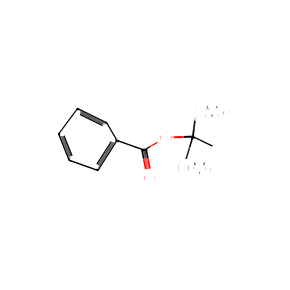 COC(C)(OC)OC(=O)c1ccccc1